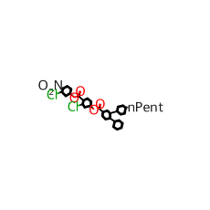 CCCCCc1ccc(-c2cc(C(=O)Oc3ccc(C(=O)Oc4ccc([N+](=O)[O-])c(Cl)c4)c(Cl)c3)ccc2-c2ccccc2)cc1